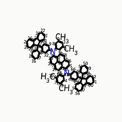 Cc1cc(C)cc(N(c2ccc(C3(c4ccccc4)c4ccccc4-c4ccccc43)cc2)c2ccc3ccc4c(N(c5ccc(C6(c7ccccc7)c7ccccc7-c7ccccc76)cc5)c5cc(C)cc(C)c5)ccc5ccc2c3c54)c1